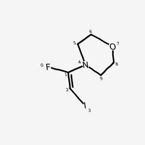 F/C(=C/I)N1CCOCC1